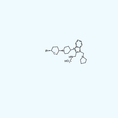 CC(C)[C@H]1CC[C@@H](N2CCC(n3c(CNC(=O)O)c(CN4CCCC4)c4ccccc43)CC2)CC1